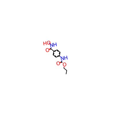 CCCOC(=O)Nc1ccc(C(=O)NO)cc1